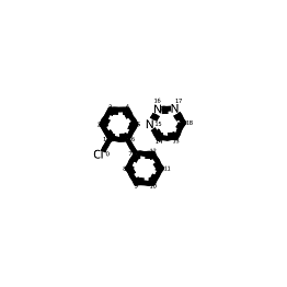 Clc1ccccc1-c1ccccc1.c1cnnnc1